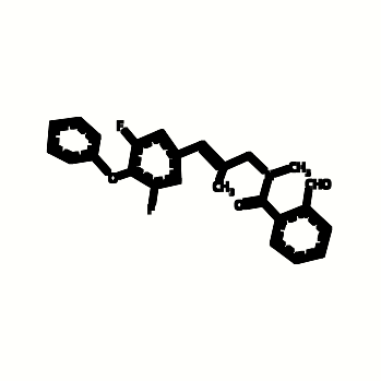 C/C(=C\c1cc(F)c(Oc2ccccc2)c(F)c1)CN(C)C(=O)c1ccccc1C=O